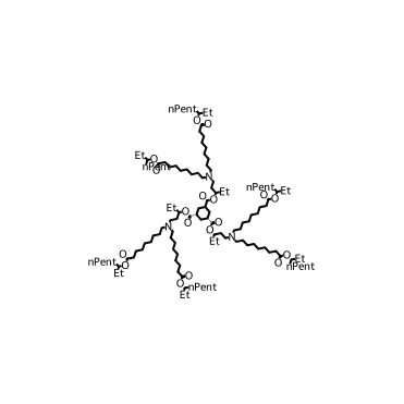 CCCCCC(CC)OC(=O)CCCCCCCCN(CCCCCCCCC(=O)OC(CC)CCCCC)CCC(CC)OC(=O)C1C[C@H](C(=O)OC(CC)CCN(CCCCCCCCC(=O)OC(CC)CCCCC)CCCCCCCCC(=O)OC(CC)CCCCC)C[C@H](C(=O)OC(CC)CCN(CCCCCCCCC(=O)OC(CC)CCCCC)CCCCCCCCC(=O)OC(CC)CCCCC)C1